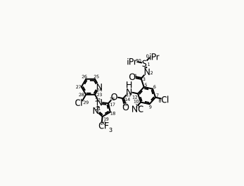 CC(C)S(=NC(=O)c1cc(Cl)cc(C#N)c1NC(=O)Oc1cc(C(F)(F)F)nn1-c1ncccc1Cl)C(C)C